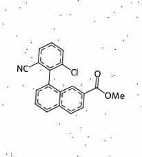 COC(=O)c1ccc2cccc(-c3c(Cl)cccc3C#N)c2c1